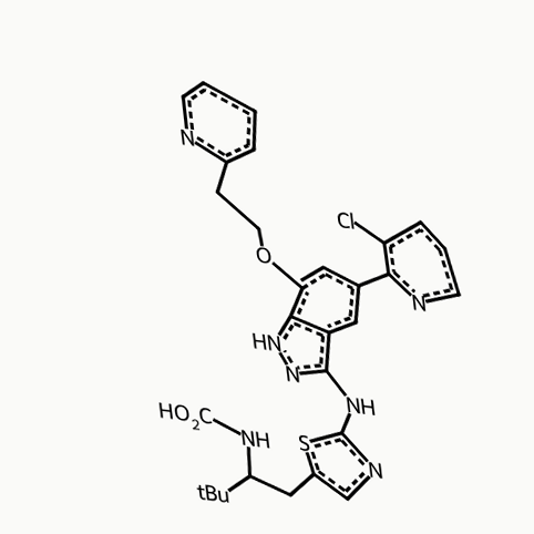 CC(C)(C)C(Cc1cnc(Nc2n[nH]c3c(OCCc4ccccn4)cc(-c4ncccc4Cl)cc23)s1)NC(=O)O